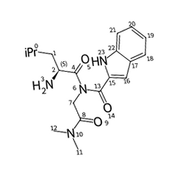 CC(C)C[C@H](N)C(=O)N(CC(=O)N(C)C)C(=O)c1cc2ccccc2[nH]1